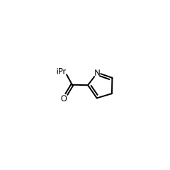 CC(C)C(=O)C1=CCC=N1